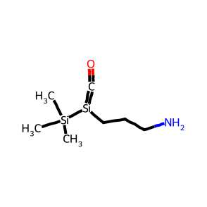 C[Si](C)(C)[Si](=C=O)CCCN